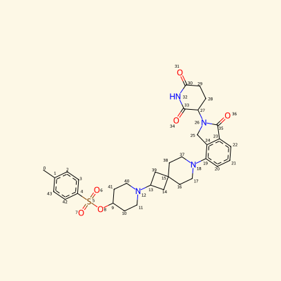 Cc1ccc(S(=O)(=O)OC2CCN(C3CC4(CCN(c5cccc6c5CN(C5CCC(=O)NC5=O)C6=O)CC4)C3)CC2)cc1